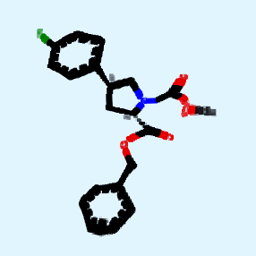 CC(C)(C)OC(=O)N1C[C@H](c2ccc(F)cc2)C[C@H]1C(=O)OCc1ccccc1